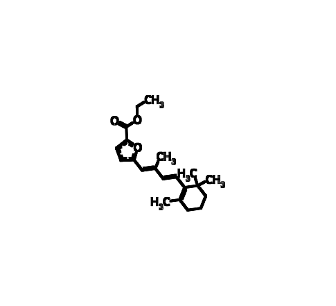 CCOC(=O)c1ccc(/C=C(C)/C=C/C2=C(C)CCCC2(C)C)o1